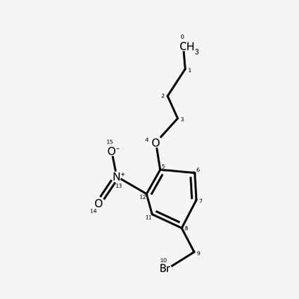 CCCCOc1ccc(CBr)cc1[N+](=O)[O-]